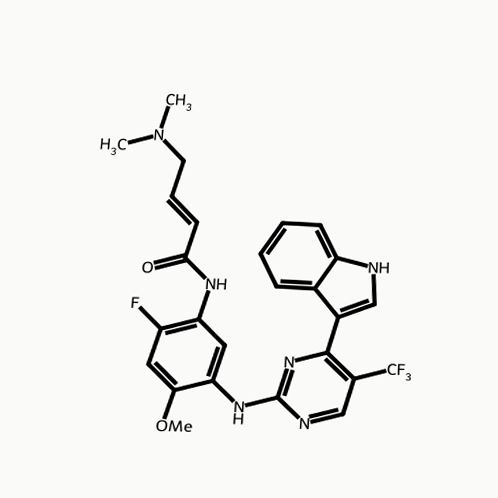 COc1cc(F)c(NC(=O)/C=C/CN(C)C)cc1Nc1ncc(C(F)(F)F)c(-c2c[nH]c3ccccc23)n1